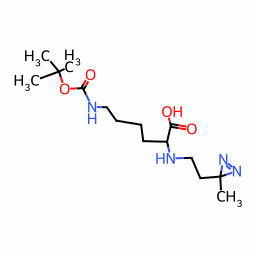 CC1(CCNC(CCCCNC(=O)OC(C)(C)C)C(=O)O)N=N1